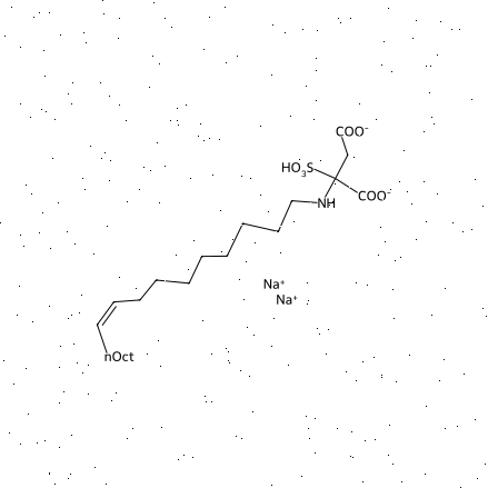 CCCCCCCC/C=C\CCCCCCCCNC(CC(=O)[O-])(C(=O)[O-])S(=O)(=O)O.[Na+].[Na+]